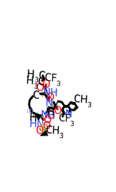 Cc1ccc2nc(C(F)(F)F)c3c(c2c1)CC[C@]1(C[C@H]2C(=O)N[C@]4(C(=O)NS(=O)(=O)C5(C)CC5)C[C@H]4/C=C\CCCCC[C@H](NC(=O)OC(C)(C)C(F)(F)F)C(=O)N2C1)O3